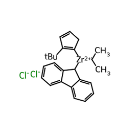 C[C](C)=[Zr+2]([C]1=C(C(C)(C)C)C=CC1)[CH]1c2ccccc2-c2ccccc21.[Cl-].[Cl-]